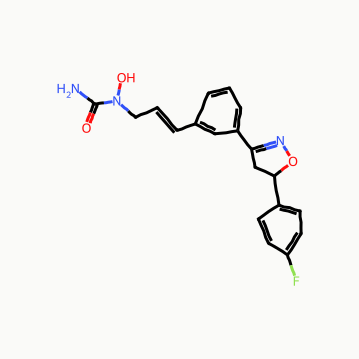 NC(=O)N(O)C/C=C/c1cccc(C2=NOC(c3ccc(F)cc3)C2)c1